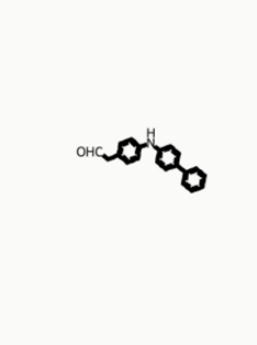 O=CCc1ccc(Nc2ccc(-c3ccccc3)cc2)cc1